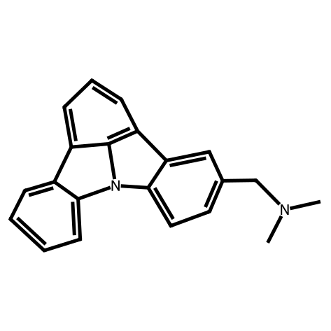 CN(C)Cc1ccc2c(c1)c1cccc3c4ccccc4n2c31